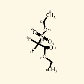 CCOC(=O)C(F)(F)S(=O)(=O)OCC